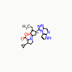 CC[C@@H]1C[C@H](N2CCC(C3CC3)[C@H]2C(=O)O)C[C@@H]1c1nnc2cnc3[nH]ccc3n12